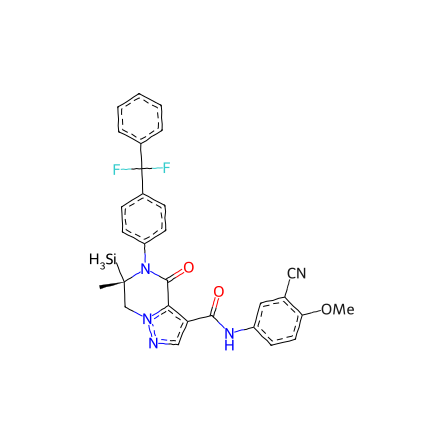 COc1ccc(NC(=O)c2cnn3c2C(=O)N(c2ccc(C(F)(F)c4ccccc4)cc2)[C@@](C)([SiH3])C3)cc1C#N